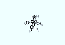 Cc1nn2c(-c3nc[nH]n3)cc(N3CCOCC3)nc2c1Cc1cccc(CF)c1C